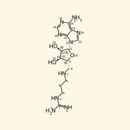 N=C(N)NCCCNC[C@H]1O[C@@H](n2cnc3c(N)ncnc32)[C@H](O)[C@@H]1O